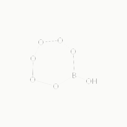 OB1OOOOOO1